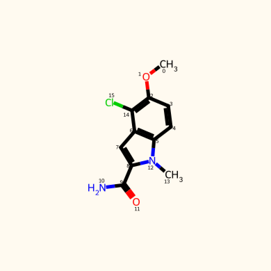 COc1ccc2c(cc(C(N)=O)n2C)c1Cl